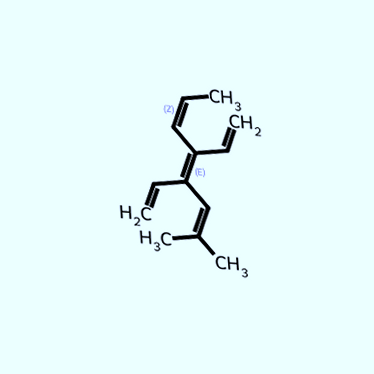 C=C/C(C=C(C)C)=C(C=C)\C=C/C